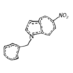 O=[N+]([O-])c1ccc2c(ccn2Cc2ccccc2)c1